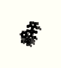 C/C(O)=C(/C(=O)O)N1C(=O)C([C@@H](C)O[Si](C)(C)C(C)(C)C)C1Sc1ccccc1